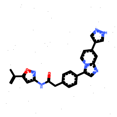 C=C(C)c1cc(NC(=O)Cc2ccc(-c3cnc4cc(-c5cn[nH]c5)ccn34)cc2)no1